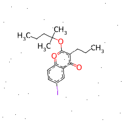 CCCc1c(OC(C)(C)CCC)oc2ccc(I)cc2c1=O